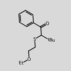 CCOCCSC(C(=O)c1ccccc1)C(C)(C)C